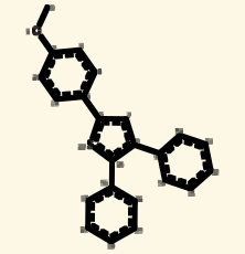 COc1ccc(-c2cc(-c3ccccc3)c(-c3ccccc3)s2)cc1